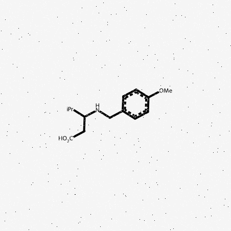 COc1ccc(CNC(CC(=O)O)C(C)C)cc1